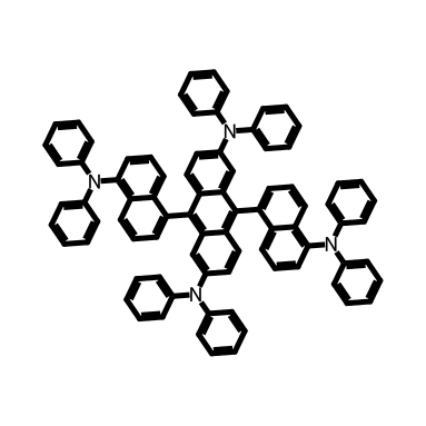 c1ccc(N(c2ccccc2)c2ccc3c(-c4cccc5c(N(c6ccccc6)c6ccccc6)cccc45)c4cc(N(c5ccccc5)c5ccccc5)ccc4c(-c4cccc5c(N(c6ccccc6)c6ccccc6)cccc45)c3c2)cc1